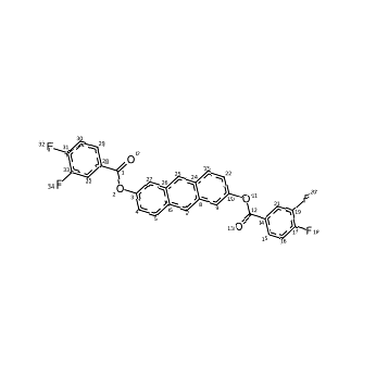 O=C(Oc1ccc2cc3cc(OC(=O)c4ccc(F)c(F)c4)ccc3cc2c1)c1ccc(F)c(F)c1